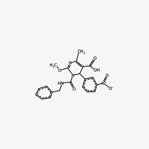 COC1=NC(C)=C(C(=O)O)C(c2cccc([N+](=O)[O-])c2)N1C(=O)NCc1ccccc1